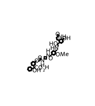 COc1cc(C(=O)NC2CC(NC(=O)COc3cccc([C@](O)(C(=O)O)c4ccccc4)c3)C2)ccc1CNC[C@H](O)c1ccc(O)c2[nH]c(=O)ccc12